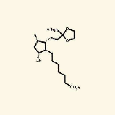 CCCCCCCC1(CC[C@@H]2[C@@H](CCCCCCC(=O)O)[C@@H](O)C[C@H]2C)OCCO1